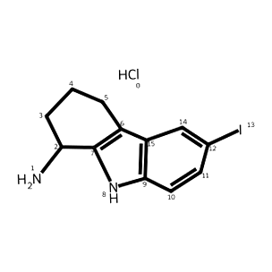 Cl.NC1CCCc2c1[nH]c1ccc(I)cc21